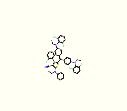 CCN(c1ccccc1)c1sc(C(=C2C=CC(=[N+](CC)c3c(F)cccc3F)C=C2)c2ccc(N(CC)c3c(F)cccc3F)cc2)c(-c2ccccc2F)c1C#N